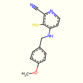 COc1ccc(CNc2ccnc(C#N)c2S)cc1